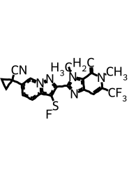 C=C1c2c(nc(-c3nn4cc(C5(C#N)CC5)ccc4c3SF)n2C)C=C(C(F)(F)F)N1C